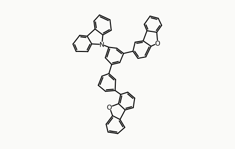 c1cc(-c2cc(-c3ccc4oc5ccccc5c4c3)cc(-n3c4ccccc4c4ccccc43)c2)cc(-c2cccc3c2oc2ccccc23)c1